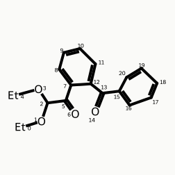 CCOC(OCC)C(=O)c1ccccc1C(=O)c1ccccc1